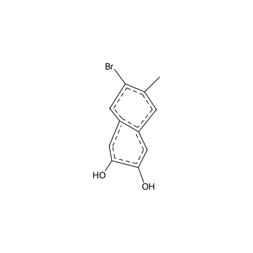 Cc1cc2cc(O)c(O)cc2cc1Br